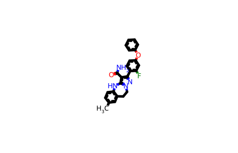 Cc1ccc2c(c1)CCn1nc(-c3ccc(Oc4ccccc4)cc3F)c(C(N)=O)c1N2